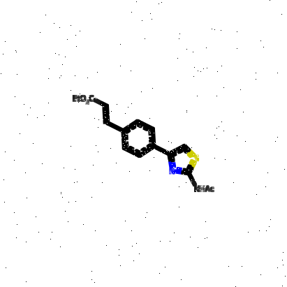 CCOC(=O)C=Cc1ccc(-c2csc(NC(C)=O)n2)cc1